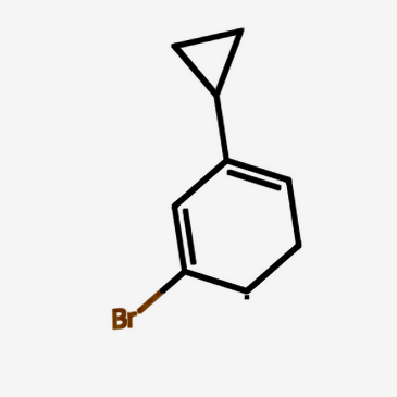 BrC1=CC(C2CC2)=CC[CH]1